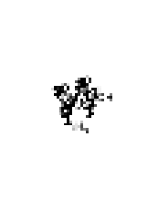 CCc1cnc(C2=NC(C)(C(C)C)C(=O)N2)c(C(=O)O)c1.CCc1cnc(C2=NC(C)(C(C)C)C(=O)N2)c(C(=O)O)c1.N